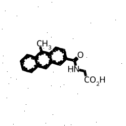 Cc1c2ccccc2cc2cc(C(=O)NCC(=O)O)ccc12